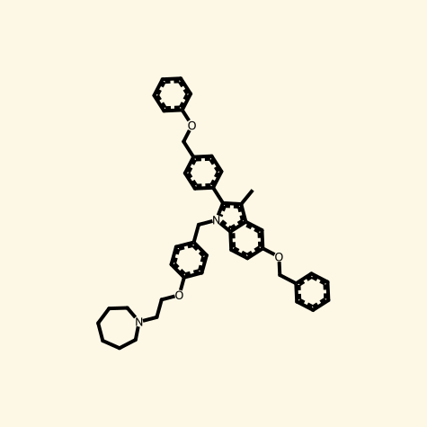 Cc1c(-c2ccc(COc3ccccc3)cc2)n(Cc2ccc(OCCN3CCCCCC3)cc2)c2ccc(OCc3ccccc3)cc12